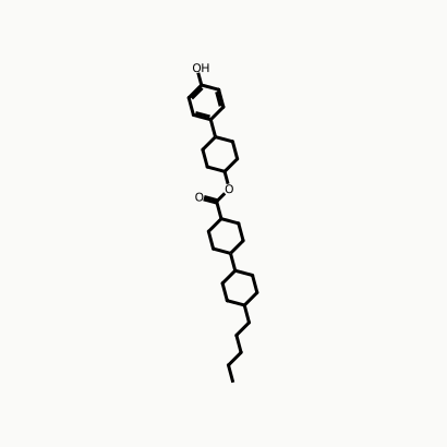 CCCCCC1CCC(C2CCC(C(=O)OC3CCC(c4ccc(O)cc4)CC3)CC2)CC1